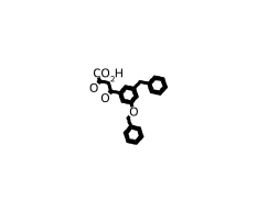 O=C(O)C(=O)CC(=O)c1cc(Cc2ccccc2)cc(OCc2ccccc2)c1